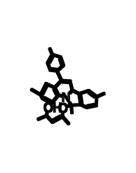 C/C(=C/C(C)O)OC1(C)c2ccc(C)cc2C2C=C(c3ccc(C)cc3)c3cc(C)ccc3N21